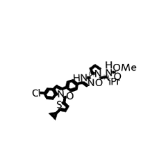 COC(=O)N[C@H](C(=O)N1CCC[C@H]1c1ncc(-c2ccc3c(c2)OC(c2ccc(C4CC4)s2)n2c-3cc3cc(Cl)ccc32)[nH]1)C(C)C